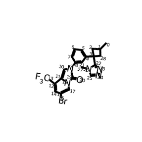 CC1CC(c2cccc(-n3cc4c(C(F)(F)F)cc(Br)cn4c3=O)c2)(c2nncn2C)C1